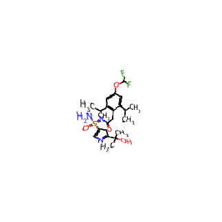 CC(C)c1cc(OC(F)F)cc(C(C)C)c1CC(=O)N=S(N)(=O)C1=CN=C(C(C)(C)O)C1